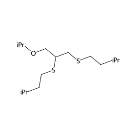 CC(C)CCSCC(COC(C)C)SCCC(C)C